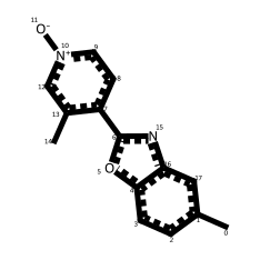 Cc1ccc2oc(-c3cc[n+]([O-])cc3C)nc2c1